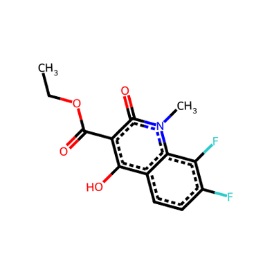 CCOC(=O)c1c(O)c2ccc(F)c(F)c2n(C)c1=O